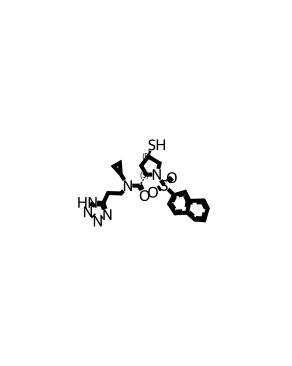 O=C([C@@H]1C[C@@H](S)CN1S(=O)(=O)c1ccc2ccccc2c1)N(CCc1nnn[nH]1)C1CC1